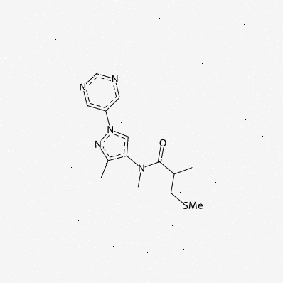 CSCC(C)C(=O)N(C)c1cn(-c2cncnc2)nc1C